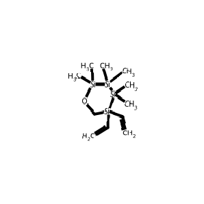 C=C[Si]1(C=C)CO[Si](C)(C)[Si](C)(C)[Si]1(C)C